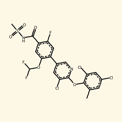 Cc1cc(Cl)cc(Cl)c1Oc1ncc(-c2cc(F)c(C(=O)NS(C)(=O)=O)cc2OC(F)F)cc1Cl